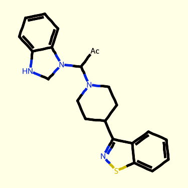 CC(=O)C(N1CCC(c2nsc3ccccc23)CC1)N1CNc2ccccc21